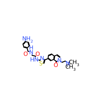 CN(C)CCn1ccc2ccc(-c3csc(NC(=O)CNC(=O)c4ccc(N)cc4)n3)cc2c1=O